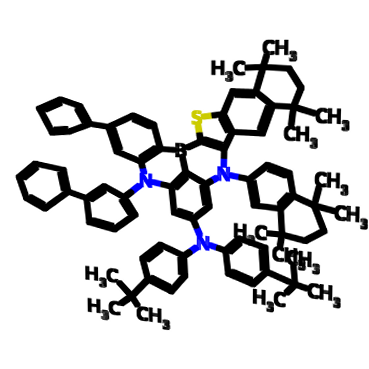 CC(C)(C)c1ccc(N(c2ccc(C(C)(C)C)cc2)c2cc3c4c(c2)N(c2ccc5c(c2)C(C)(C)CCC5(C)C)c2c(sc5cc6c(cc25)C(C)(C)CCC6(C)C)B4c2ccc(-c4ccccc4)cc2N3c2cccc(-c3ccccc3)c2)cc1